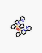 O=P(c1ccccc1)(c1cccc(-c2ccccn2)n1)c1ccccc1P(=O)(c1ccccc1)c1cccc(-c2ccccn2)n1